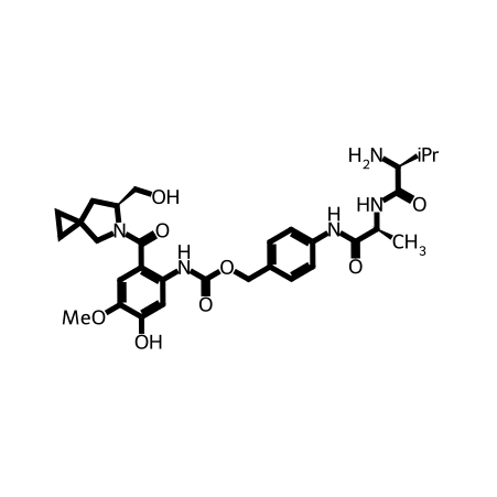 COc1cc(C(=O)N2CC3(CC3)C[C@H]2CO)c(NC(=O)OCc2ccc(NC(=O)[C@H](C)NC(=O)[C@@H](N)C(C)C)cc2)cc1O